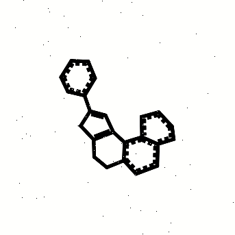 [CH]1C(c2ccccc2)=CC2=C1CCc1ccc3ccccc3c12